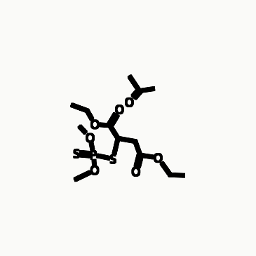 CC(C)=O.CCOC(=O)CC(SP(=S)(OC)OC)C(=O)OCC